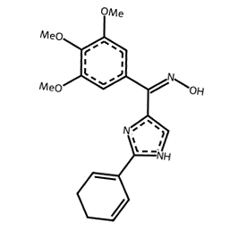 COc1cc(C(=NO)c2c[nH]c(C3=CCCC=C3)n2)cc(OC)c1OC